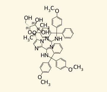 COc1ccc(C(Nc2nc(NC(c3ccccc3)(c3ccc(OC)cc3)c3ccc(OC)cc3)c3ncc([C@@H]4O[C@H](CO)[C@@H](O)[C@@]4(C)O)n3n2)(c2ccccc2)c2ccc(OC)cc2)cc1